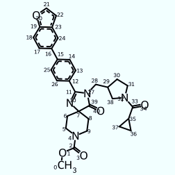 COC(=O)N1CCC2(CC1)N=C(c1ccc(-c3ccc4occc4c3)cc1)N(CC1CCN(C(=O)C3CC3)C1)C2=O